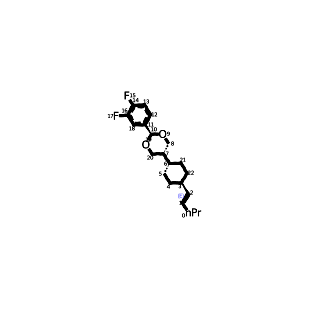 CCC/C=C/[C@H]1CC[C@H]([C@H]2CO[C@H](c3ccc(F)c(F)c3)OC2)CC1